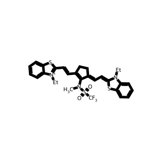 CCN1/C(=C/C=C2\CCC(/C=C/c3sc4ccccc4[n+]3CC)=C2N(C)S(=O)(=O)C(F)(F)F)Sc2ccccc21